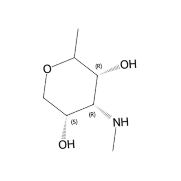 CN[C@@H]1[C@H](O)COC(C)[C@@H]1O